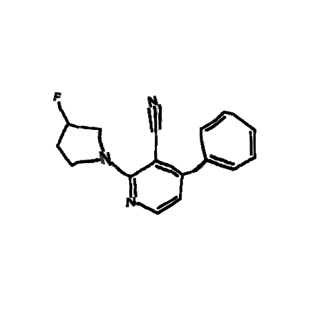 N#Cc1c(-c2ccccc2)ccnc1N1CCC(F)C1